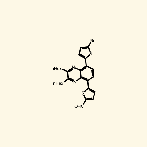 CCCCCCc1nc2c(-c3ccc(Br)s3)ccc(-c3ccc(C=O)s3)c2nc1CCCCCC